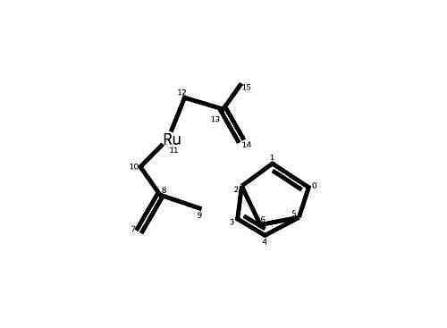 C1=CC2C=CC1C2.C=C(C)[CH2][Ru][CH2]C(=C)C